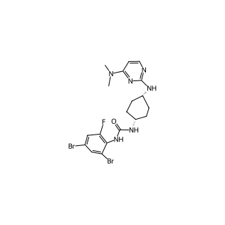 CN(C)c1ccnc(N[C@H]2CC[C@@H](NC(=O)Nc3c(F)cc(Br)cc3Br)CC2)n1